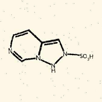 O=S(=O)(O)N1C=C2C=CN=CN2N1